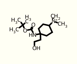 C=[N+](C)C1CCC(CCO)(NC(=O)OC(C)(C)C)CC1